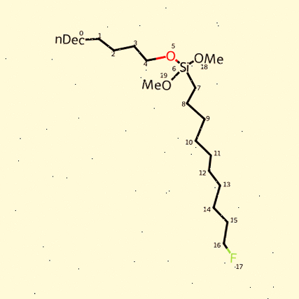 CCCCCCCCCCCCCCO[Si](CCCCCCCCCCF)(OC)OC